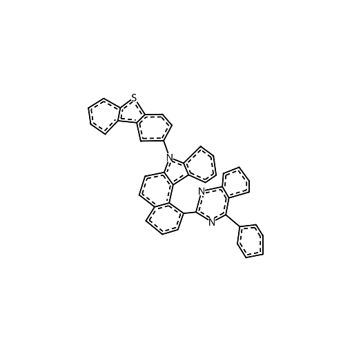 c1ccc(-c2nc(-c3cccc4ccc5c(c6ccccc6n5-c5ccc6sc7ccccc7c6c5)c34)nc3ccccc23)cc1